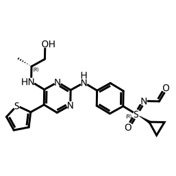 C[C@H](CO)Nc1nc(Nc2ccc([S@@](=O)(=NC=O)C3CC3)cc2)ncc1-c1cccs1